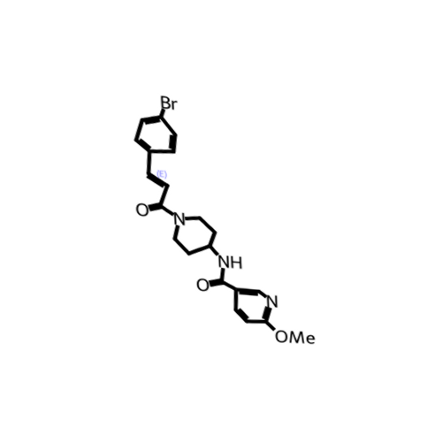 COc1ccc(C(=O)NC2CCN(C(=O)/C=C/c3ccc(Br)cc3)CC2)cn1